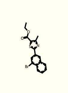 CCOC(=O)c1sc(-c2cc(Br)c3ccccc3c2)nc1C